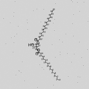 CCCCCCCCCCCCCCCCCC(=O)OCC(C)(CO)COC(=O)CCCCCCCCCCCCCCCCC